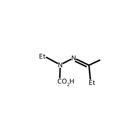 [CH2]CN(/N=C(/C)CC)C(=O)O